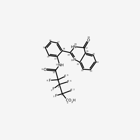 O=C(O)C(F)(F)C(F)(F)C(F)(F)C(=O)Nc1ccccc1-c1nc2ccccc2c(=O)[nH]1